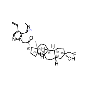 C=Cc1cnn(CC(=O)[C@H]2CC[C@H]3[C@@H]4CC[C@H]5C[C@@](O)(CF)CC[C@@H]5[C@H]4CC[C@]23C)c1/C=N\C